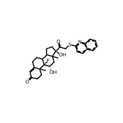 CC12C[C@H](O)[C@@]3(F)C(CCC4=CC(=O)CCC43C)C1CC[C@]2(O)C(=O)CSc1ccc2ccccc2n1